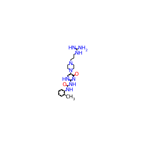 Cc1ccccc1NC(=O)Nc1nc(=O)c(N2CCN(CCCNC(=N)N)CC2)c[nH]1